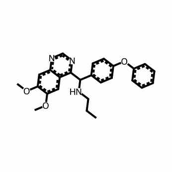 CCCNC(c1ccc(Oc2ccccc2)cc1)c1ncnc2cc(OC)c(OC)cc12